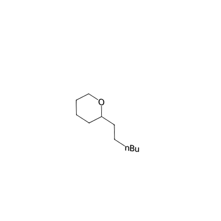 [CH2]CCCCCC1CCCCO1